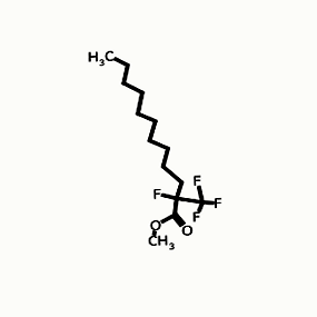 CCCCCCCCCCC(F)(C(=O)OC)C(F)(F)F